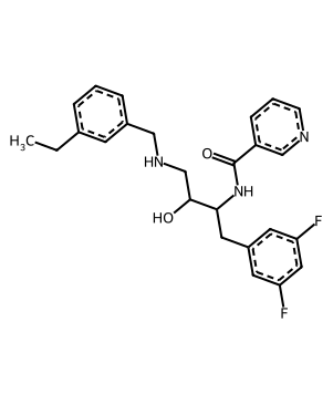 CCc1cccc(CNCC(O)C(Cc2cc(F)cc(F)c2)NC(=O)c2cccnc2)c1